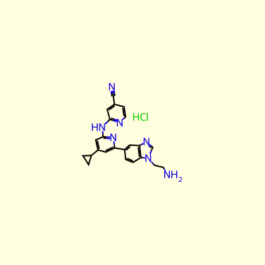 Cl.N#Cc1ccnc(Nc2cc(C3CC3)cc(-c3ccc4c(c3)ncn4CCN)n2)c1